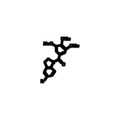 COc1cc(C(=O)N2CCc3cc(Br)ccc32)cc(OC)c1OC